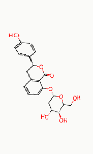 O=C1O[C@H](c2ccc(O)cc2)Cc2cccc(O[C@H]3CC(O)[C@H](O)C(CO)O3)c21